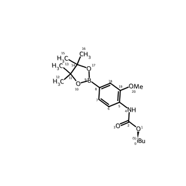 CC[C@H](C)OC(=O)Nc1ccc(B2OC(C)(C)C(C)(C)O2)cc1OC